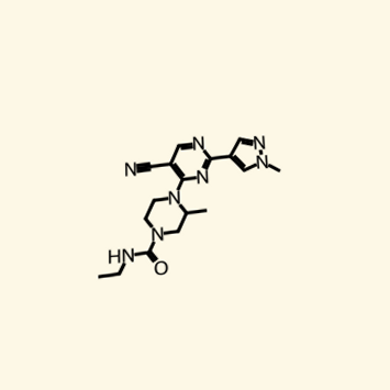 CCNC(=O)N1CCN(c2nc(-c3cnn(C)c3)ncc2C#N)C(C)C1